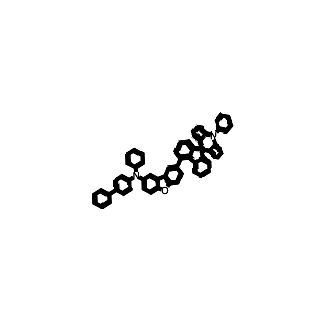 c1ccc(-c2ccc(N(c3ccccc3)c3ccc4oc5ccc(-c6cccc7c6-c6ccccc6C76c7ccccc7N(c7ccccc7)c7ccccc76)cc5c4c3)cc2)cc1